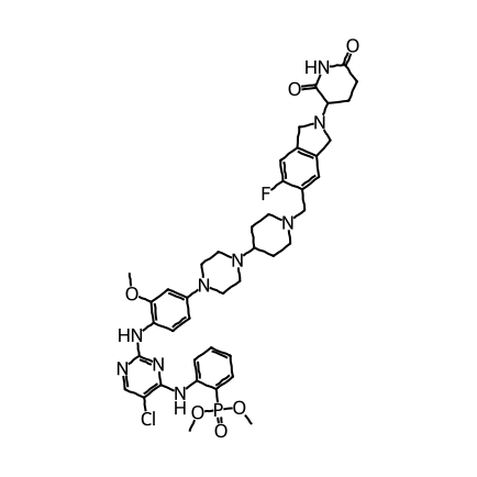 COc1cc(N2CCN(C3CCN(Cc4cc5c(cc4F)CN(C4CCC(=O)NC4=O)C5)CC3)CC2)ccc1Nc1ncc(Cl)c(Nc2ccccc2P(=O)(OC)OC)n1